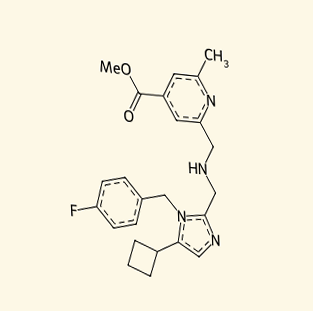 COC(=O)c1cc(C)nc(CNCc2ncc(C3CCC3)n2Cc2ccc(F)cc2)c1